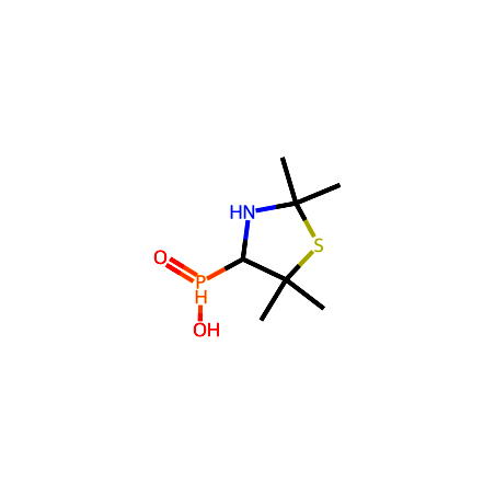 CC1(C)NC([PH](=O)O)C(C)(C)S1